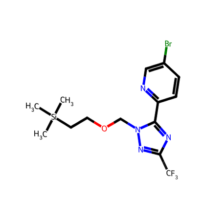 C[Si](C)(C)CCOCn1nc(C(F)(F)F)nc1-c1ccc(Br)cn1